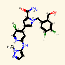 Cn1nccc1Nc1cc(-c2cc(C(N)=O)n(Cc3cc(F)c(F)cc3CO)c2)c(Cl)cn1